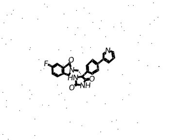 O=C1NC(=O)[C@](CN2Cc3ccc(F)cc3C2=O)(c2ccc(-c3cccnc3)cc2)N1